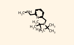 CNCc1cccc(CP(C(C)(C)C)C(C)(C)C)n1